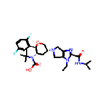 CCn1c(C(=O)NC(C)C)nc2c1CN([C@H]1CO[C@H](c3cc(F)ccc3F)[C@@H](N(C(=O)O)C(C)(C)C)C1)C2